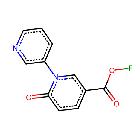 O=C(OF)c1ccc(=O)n(-c2cccnc2)c1